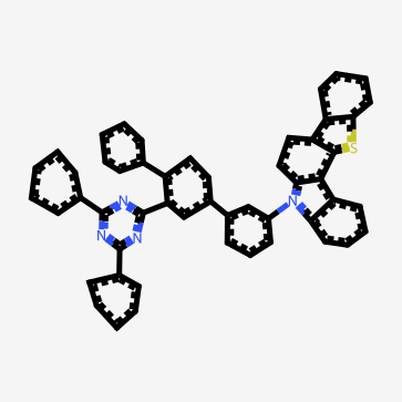 c1ccc(-c2nc(-c3ccccc3)nc(-c3cc(-c4cccc(-n5c6ccccc6c6c7sc8ccccc8c7ccc65)c4)ccc3-c3ccccc3)n2)cc1